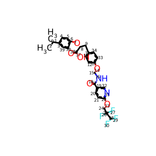 CC(C)c1ccc(OC(Cc2ccc(OCNC(=O)c3ccc(OCC(F)(F)C(F)F)nc3)cc2)C(=O)O)cc1